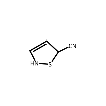 N#CC1[C]=CNS1